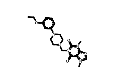 CCOc1cccc(N2CCN(Cn3c(=O)c4c(ncn4C)n(C)c3=O)CC2)c1